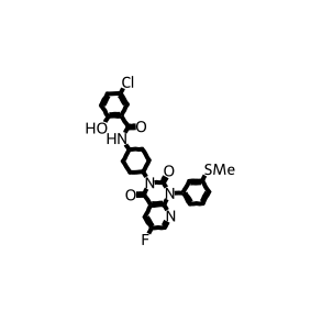 CSc1cccc(-n2c(=O)n(C3CCC(NC(=O)c4cc(Cl)ccc4O)CC3)c(=O)c3cc(F)cnc32)c1